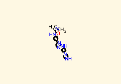 CN(C)CC(=O)Nc1ccc(-c2ccnc(Nc3ccc(N4CCNCC4)cc3)n2)cc1